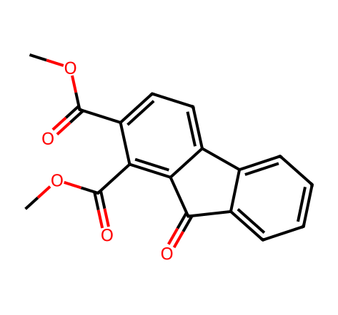 COC(=O)c1ccc2c(c1C(=O)OC)C(=O)c1ccccc1-2